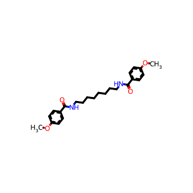 COc1ccc(C(=O)NCCCCCCCCNC(=O)c2ccc(OC)cc2)cc1